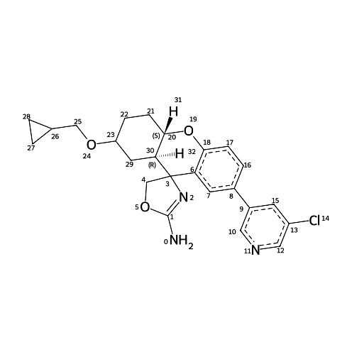 NC1=NC2(CO1)c1cc(-c3cncc(Cl)c3)ccc1O[C@H]1CCC(OCC3CC3)C[C@@H]12